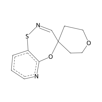 C1=NSc2cccnc2OC12CCOCC2